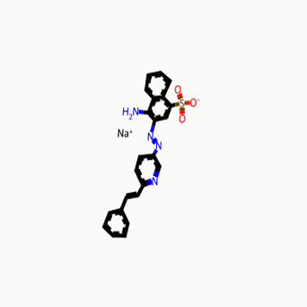 Nc1c(N=Nc2ccc(C=Cc3ccccc3)nc2)cc(S(=O)(=O)[O-])c2ccccc12.[Na+]